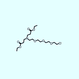 CCOC(=O)CCN(CCOCCOCCOCCCl)CCC(=O)OCC